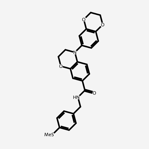 CSc1ccc(CNC(=O)c2ccc3c(c2)OCCN3c2ccc3c(c2)OCCO3)cc1